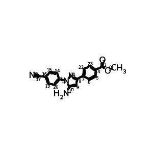 COC(=O)c1ccc(-c2cc(N)n(-c3ccc(C#N)cc3)n2)cc1